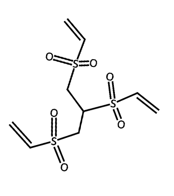 C=CS(=O)(=O)CC(CS(=O)(=O)C=C)S(=O)(=O)C=C